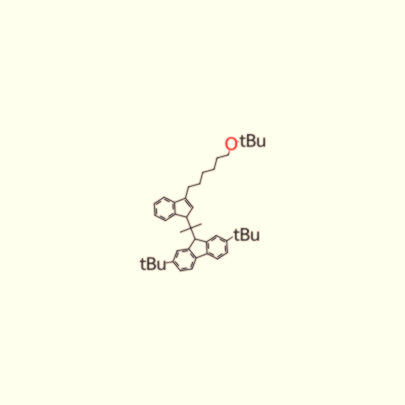 CC(C)(C)OCCCCCCC1=CC(C(C)(C)C2c3cc(C(C)(C)C)ccc3-c3ccc(C(C)(C)C)cc32)c2ccccc21